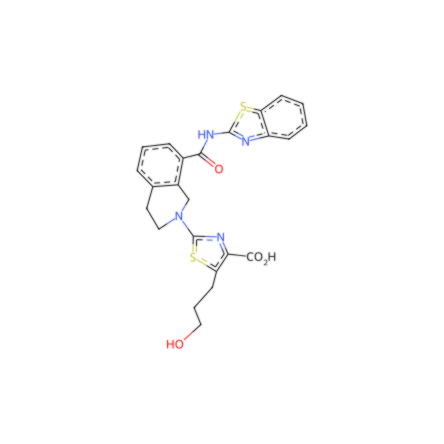 O=C(Nc1nc2ccccc2s1)c1cccc2c1CN(c1nc(C(=O)O)c(CCCO)s1)CC2